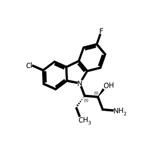 CC[C@@H]([C@@H](O)CN)n1c2ccc(F)cc2c2cc(Cl)ccc21